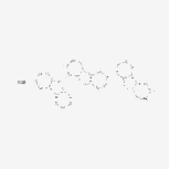 N#Cc1ccc2c(c1)c1ccccc1n2-c1cccc2c1oc1ccc(-c3cccc4c3sc3ccccc34)cc12